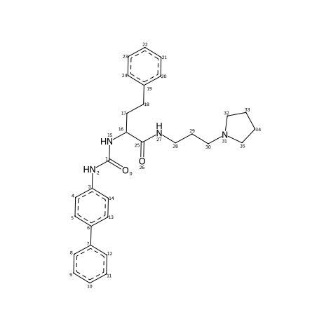 O=C(Nc1ccc(-c2ccccc2)cc1)NC(CCc1ccccc1)C(=O)NCCCN1CCCC1